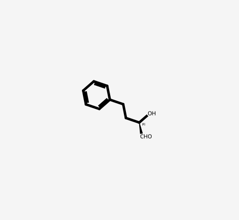 O=C[C@H](O)CCc1ccccc1